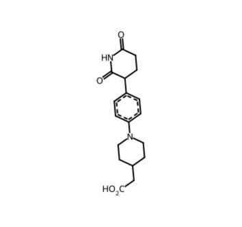 O=C(O)CC1CCN(c2ccc(C3CCC(=O)NC3=O)cc2)CC1